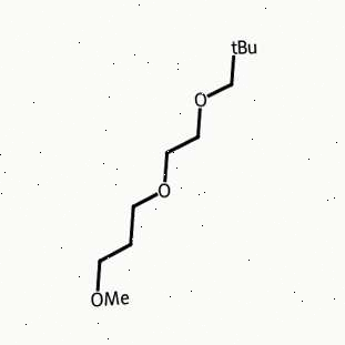 COCCCOCCOCC(C)(C)C